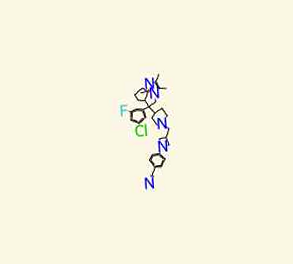 Cc1nc(C)n(CC(c2cc(F)cc(Cl)c2)(C2CCCC2)C2CCN(CC3CN(c4ccc(C#N)cc4)C3)CC2)c1C